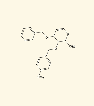 COc1ccc(COC2C(C=O)OC=CC2OCc2ccccc2)cc1